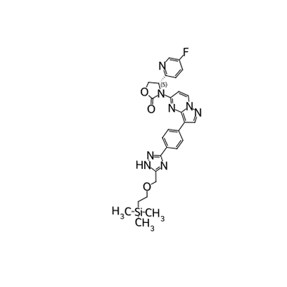 C[Si](C)(C)CCOCc1nc(-c2ccc(-c3cnn4ccc(N5C(=O)OC[C@@H]5c5ccc(F)cn5)nc34)cc2)n[nH]1